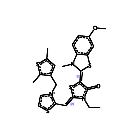 CCn1c(=O)/c(=C2\Sc3cc(OC)ccc3N2C)s/c1=C\c1scc[n+]1Cc1cc(C)sc1C